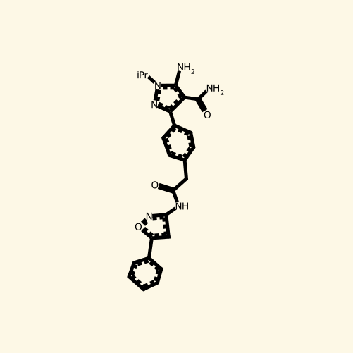 CC(C)n1nc(-c2ccc(CC(=O)Nc3cc(-c4ccccc4)on3)cc2)c(C(N)=O)c1N